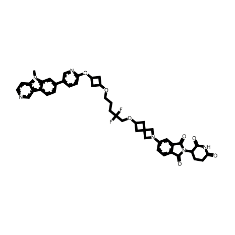 Cn1c2ccncc2c2ccc(-c3ccc(OC4CC(OCCCC(F)(F)COC5CC6(C5)CN(c5ccc7c(c5)C(=O)N(C5CCC(=O)NC5=O)C7=O)C6)C4)nc3)cc21